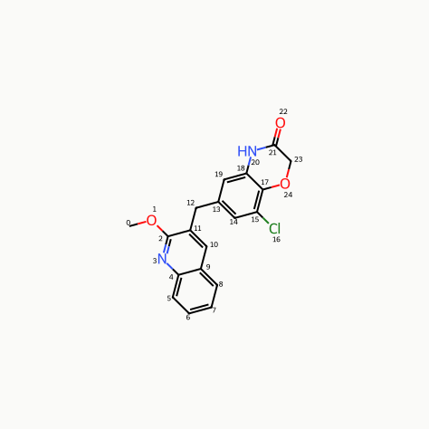 COc1nc2ccccc2cc1Cc1cc(Cl)c2c(c1)NC(=O)CO2